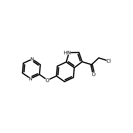 O=C(CCl)c1c[nH]c2cc(Oc3cnccn3)ccc12